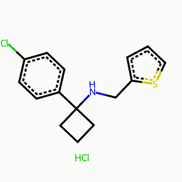 Cl.Clc1ccc(C2(NCc3cccs3)CCC2)cc1